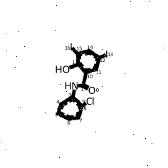 O=C(Nc1ccccc1Cl)c1cc(I)cc(I)c1O